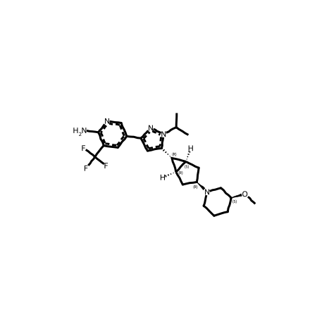 CO[C@H]1CCCN([C@H]2C[C@@H]3[C@H](C2)[C@H]3c2cc(-c3cnc(N)c(C(F)(F)F)c3)nn2C(C)C)C1